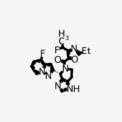 CCc1nc(C(C)F)c(C(=O)N2CCc3[nH]cnc3[C@@H]2c2cc3c(F)cccn3n2)o1